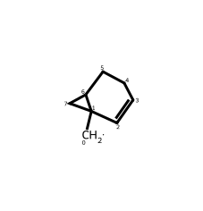 [CH2]C12C=CCCC1C2